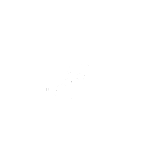 CCOC(=O)c1cccc(-c2ccc3c(c2)C(C)(C)CC(C)(C)S3)c1C(=O)O